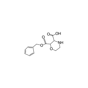 O=C(O)C1NCCOC1C(=O)OCc1ccccc1